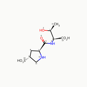 C[C@H](O)[C@H](NC(=O)[C@@H]1C[C@@H](S(=O)(=O)O)CN1)C(=O)O